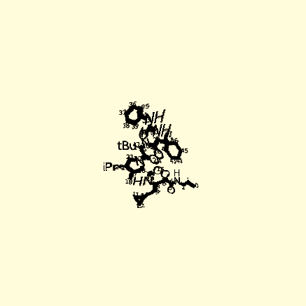 C=CCNC(=O)C(=O)C(CC1CC1)NC(=O)[C@@H]1C(C)[C@@H](C(C)C)CN1C(=O)[C@@H](NC(=O)[C@@H](NC(=O)Nc1ccccc1)C1(C)CCCCC1)C(C)(C)C